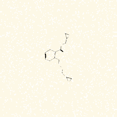 O=C(OCC1CO1)C1CC=CCC1COOCC1CO1